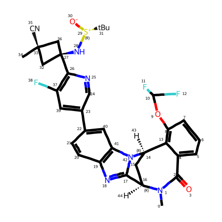 CN1C(=O)c2cccc(OC(F)F)c2[C@H]2C[C@@H]1c1nc3ccc(-c4cnc([C@]5(N[S@@+]([O-])C(C)(C)C)C[C@@](C)(C#N)C5)c(F)c4)cc3n12